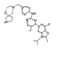 Cc1nc2c(F)cc(-c3nc(Nc4ccc(CN5CCOC6(CCNC6)C5)cn4)ncc3F)cc2n1C(C)C